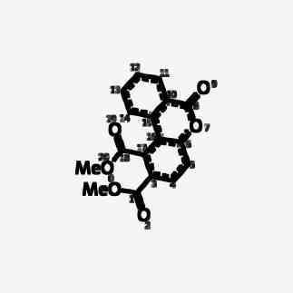 COC(=O)c1ccc2oc(=O)c3ccccc3c2c1C(=O)OC